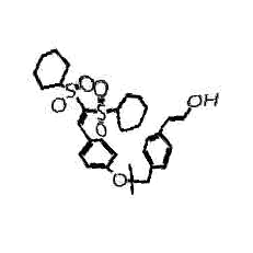 CC(C)(Cc1ccc(C=CO)cc1)Oc1ccc(C=C(S(=O)(=O)C2CCCCC2)S(=O)(=O)C2CCCCC2)cc1